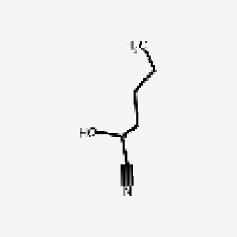 CCCC[C](O)C#N